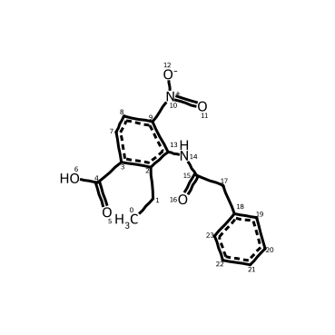 CCc1c(C(=O)O)ccc([N+](=O)[O-])c1NC(=O)Cc1ccccc1